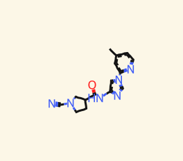 Cc1ccnc(-n2cnc(NC(=O)C3CCN(C#N)C3)c2)c1